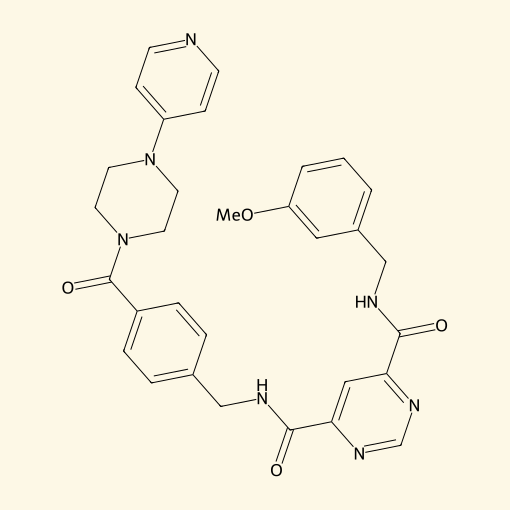 COc1cccc(CNC(=O)c2cc(C(=O)NCc3ccc(C(=O)N4CCN(c5ccncc5)CC4)cc3)ncn2)c1